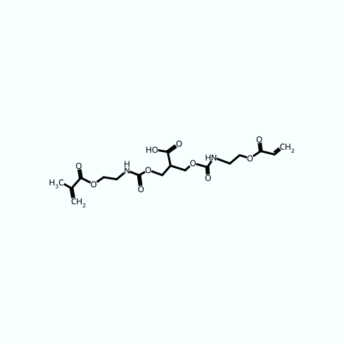 C=CC(=O)OCCNC(=O)OCC(COC(=O)NCCOC(=O)C(=C)C)C(=O)O